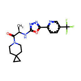 C[C@@H](Nc1nnc(-c2ccc(C(F)(F)F)cn2)o1)C(=O)N1CCC2(CC1)CC2